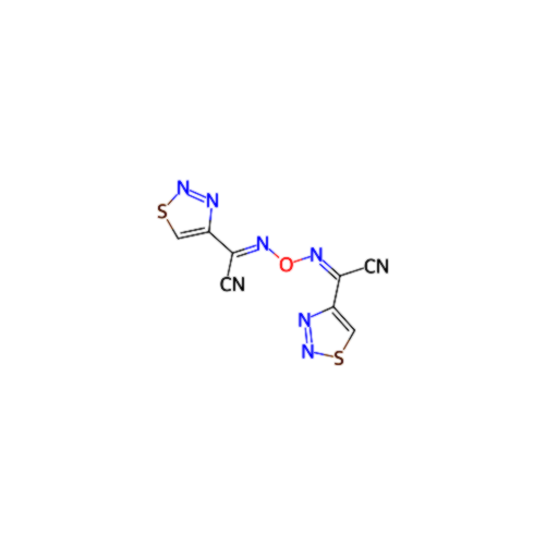 N#CC(=NON=C(C#N)c1csnn1)c1csnn1